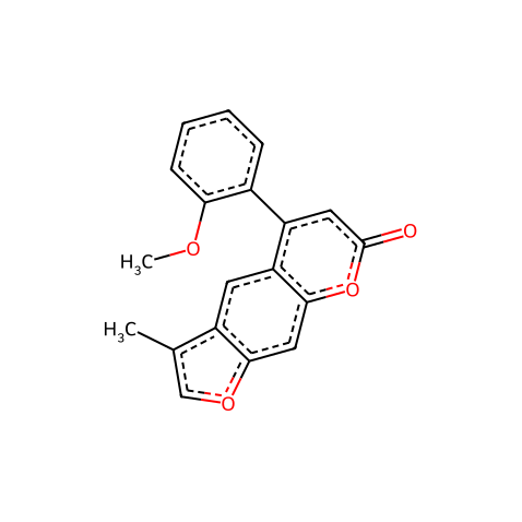 COc1ccccc1-c1cc(=O)oc2cc3occ(C)c3cc12